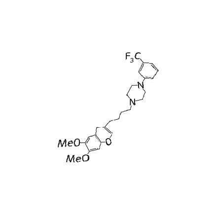 COc1cc2c(cc1OC)OC=C(CCCCN1CCN(c3cccc(C(F)(F)F)c3)CC1)C2